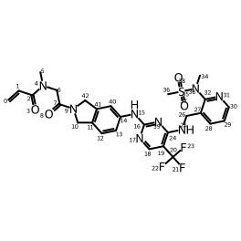 C=CC(=O)N(C)CC(=O)N1Cc2ccc(Nc3ncc(C(F)(F)F)c(NCc4cccnc4N(C)S(C)(=O)=O)n3)cc2C1